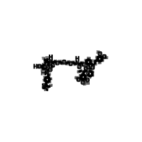 CC[C@H](C(=O)N1CCCC[C@H]1C(=O)O[C@H](CCc1ccc(OC)c(OC)c1)c1cccc(OCC(=O)NCCOCCOCCOCC(=O)N[C@H](C(=O)N2C[C@H](O)C[C@H]2C(=O)NCc2ccc(-c3scnc3C)cc2)C(C)(C)C)c1)c1cc(OC)c(OC)c(OC)c1